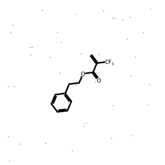 C=C(C(=O)OCCc1ccccc1)C(F)(F)F